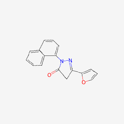 O=C1CC(c2ccco2)=NN1c1cccc2ccccc12